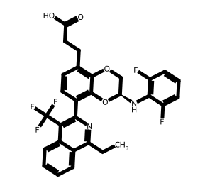 CCc1nc(-c2ccc(CCC(=O)O)c3c2O[C@H](Nc2c(F)cccc2F)CO3)c(C(F)(F)F)c2ccccc12